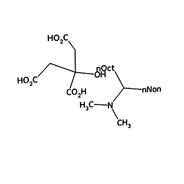 CCCCCCCCCC(CCCCCCCC)N(C)C.O=C(O)CC(O)(CC(=O)O)C(=O)O